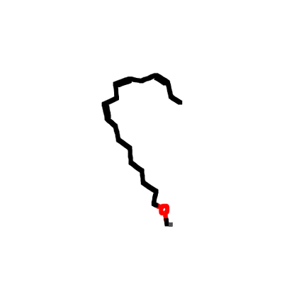 [CH2]OCCCCCCCC/C=C\C/C=C\C/C=C\CC